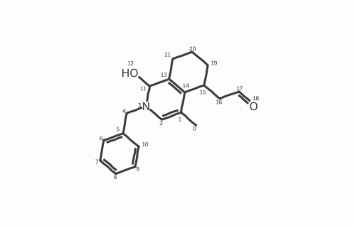 CC1=CN(Cc2ccccc2)C(O)C2=C1C(CC=O)CCC2